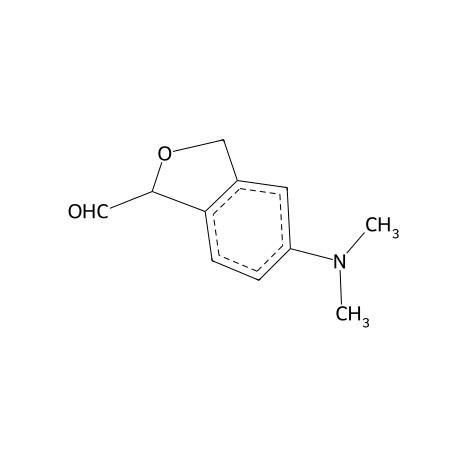 CN(C)c1ccc2c(c1)COC2C=O